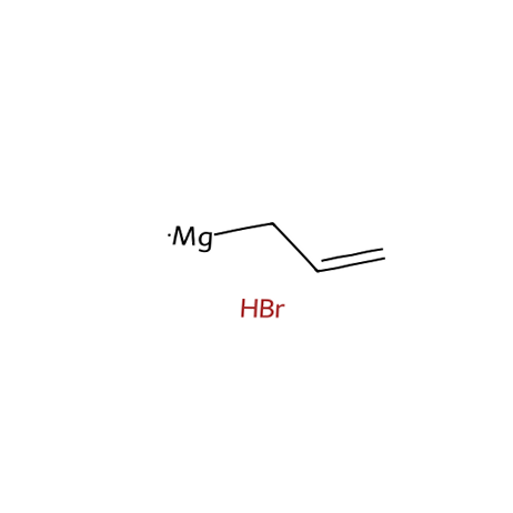 Br.C=C[CH2][Mg]